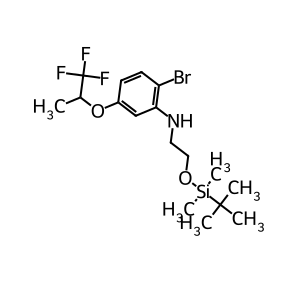 CC(Oc1ccc(Br)c(NCCO[Si](C)(C)C(C)(C)C)c1)C(F)(F)F